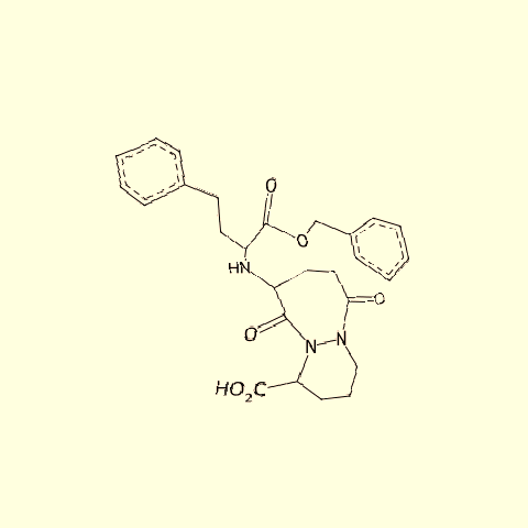 O=C(OCc1ccccc1)C(CCc1ccccc1)NC1CCC(=O)N2CCCC(C(=O)O)N2C1=O